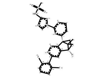 CC1(C)[C@H]2CC[C@]1(c1ccnc(-n3cnc(NS(C)(=O)=O)n3)n1)c1nnc(-c3c(F)cccc3F)cc12